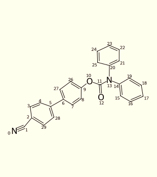 N#Cc1ccc(-c2ccc(OC(=O)N(c3ccccc3)c3ccccc3)cc2)cc1